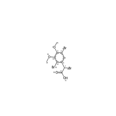 COc1c(Br)cc(C(Br)C(=O)O)c(Br)c1OC